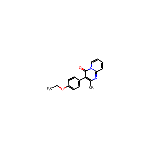 O=c1c(-c2ccc(OCC(F)(F)F)cc2)c(C(F)(F)F)nc2ccccn12